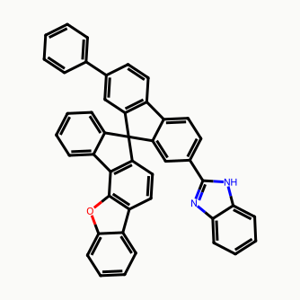 c1ccc(-c2ccc3c(c2)C2(c4cc(-c5nc6ccccc6[nH]5)ccc4-3)c3ccccc3-c3c2ccc2c3oc3ccccc32)cc1